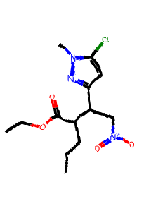 CCCC(C(=O)OCC)C(C[N+](=O)[O-])c1cc(Cl)n(C)n1